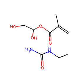 C=C(C)C(=O)OC(O)CO.CCNC(N)=O